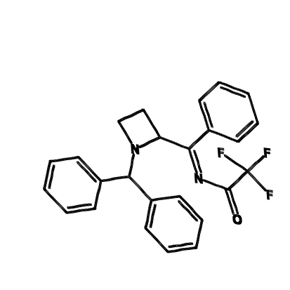 O=C(/N=C(\c1ccccc1)C1CCN1C(c1ccccc1)c1ccccc1)C(F)(F)F